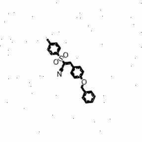 Cc1ccc(S(=O)(=O)C(C#N)=Cc2ccc(OCc3ccccc3)cc2)cc1